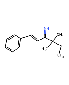 CCC(C)(C)C(=N)/C=C/c1ccccc1